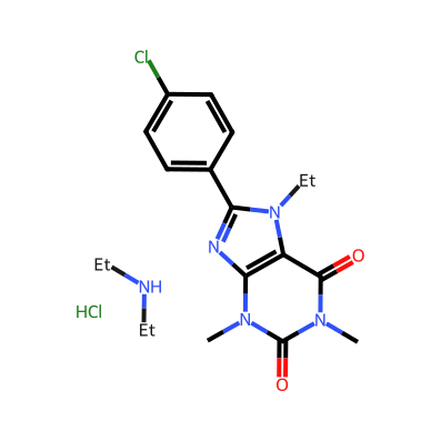 CCNCC.CCn1c(-c2ccc(Cl)cc2)nc2c1c(=O)n(C)c(=O)n2C.Cl